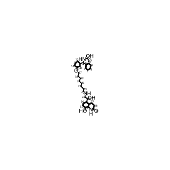 O=C(O)NC(c1ccccc1)c1cccc(OCCCCCCCCNC[C@H](O)c2ccc(O)c3[nH]c(=O)ccc23)c1